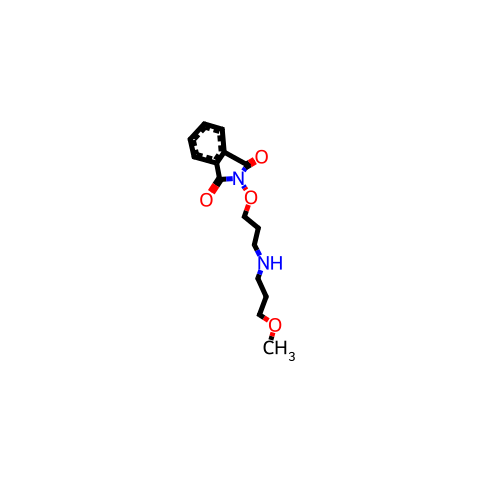 COCCCNCCCON1C(=O)c2ccccc2C1=O